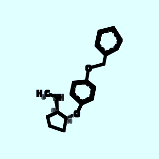 CN[C@@H]1CCC[C@H]1Oc1ccc(OCc2ccccc2)cc1